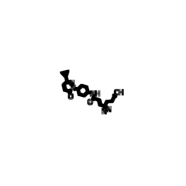 C#CCCC1(C=CC(=O)NC2CCC(n3nc(C4CC4)ccc3=O)CC2)N=N1